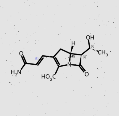 C[C@@H](O)[C@H]1C(=O)N2C(C(=O)O)=C(/C=C/C(N)=O)C[C@H]12